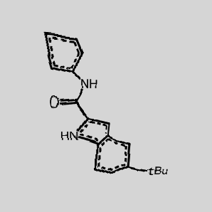 CC(C)(C)c1ccc2[nH]c(C(=O)Nc3ccccc3)cc2c1